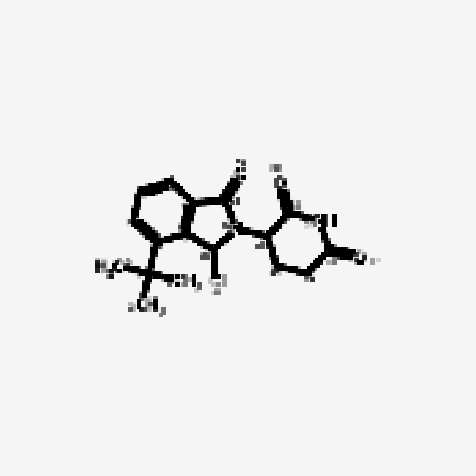 CC(C)(C)c1cccc2c1C(O)N(C1CCC(=O)NC1=O)C2=O